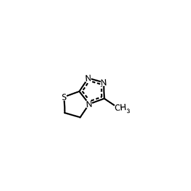 Cc1nnc2n1CCS2